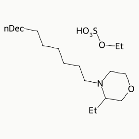 CCCCCCCCCCCCCCCCN1CCOCC1CC.CCOS(=O)(=O)O